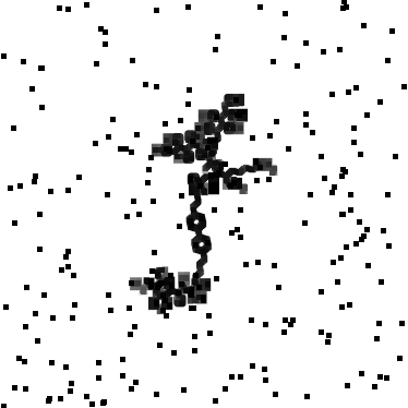 N=C(NCCCCc1ccc(-c2ccc(CCCNC(=O)[C@H](CCCCN(C[C@H](O)[C@@H](O)[C@H](O)[C@H](O)CO)C[C@H](O)[C@@H](O)[C@H](O)[C@H](O)CO)NC(=O)[C@@H](N)CCCCN)cc2)cc1)NC(=O)c1nc(Cl)c(N)nc1N